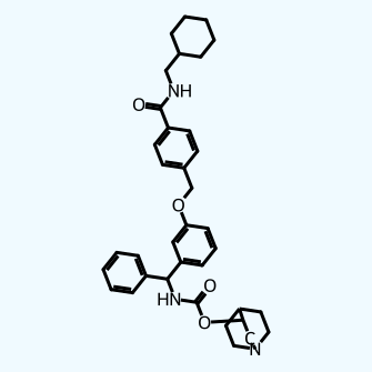 O=C(NC(c1ccccc1)c1cccc(OCc2ccc(C(=O)NCC3CCCCC3)cc2)c1)OC1CN2CCC1CC2